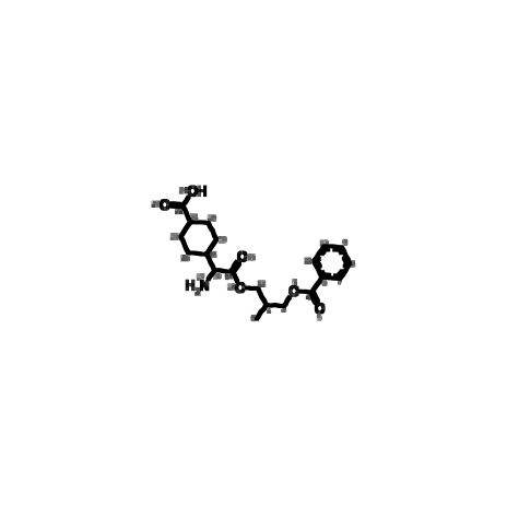 CC(COC(=O)c1ccccc1)COC(=O)C(N)C1CCC(C(=O)O)CC1